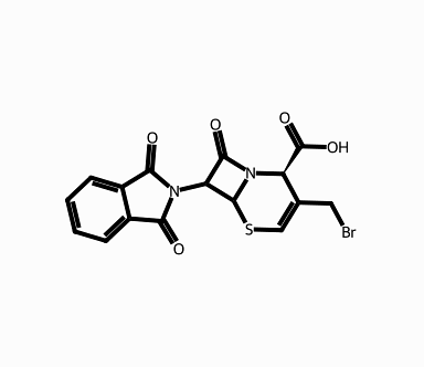 O=C(O)[C@H]1C(CBr)=CSC2C(N3C(=O)c4ccccc4C3=O)C(=O)N21